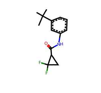 CC(C)(C)c1cccc(NC(=O)C2CC2(F)F)c1